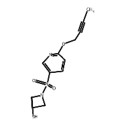 CC#CCOc1ccc(S(=O)(=O)N2CC(S)C2)cn1